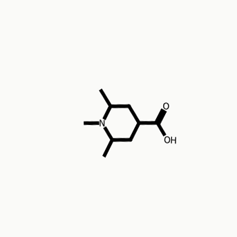 CC1CC(C(=O)O)CC(C)N1C